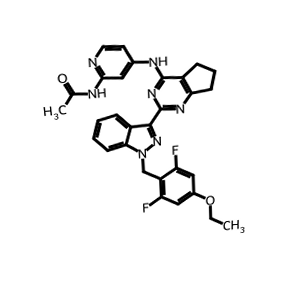 CCOc1cc(F)c(Cn2nc(-c3nc4c(c(Nc5ccnc(NC(C)=O)c5)n3)CCC4)c3ccccc32)c(F)c1